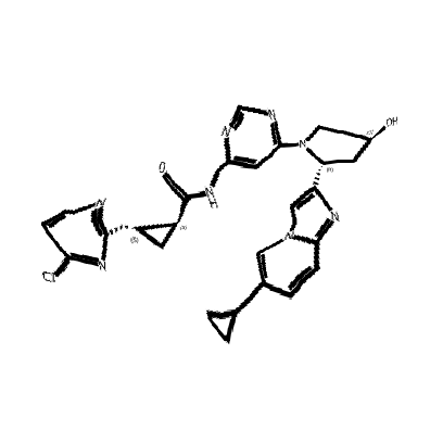 O=C(Nc1cc(N2C[C@@H](O)C[C@@H]2c2cn3cc(C4CC4)ccc3n2)ncn1)[C@H]1C[C@@H]1c1nccc(Cl)n1